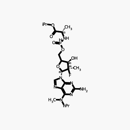 CCCN(C)c1nc(N)nc2c1ncn2[C@@H]1OC(CO[PH](=O)N[C@@H](C)C(=O)OC(C)C)[C@@H](O)[C@@]1(C)F